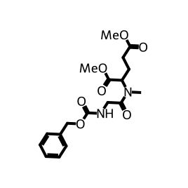 COC(=O)CCC(C(=O)OC)N(C)C(=O)CNC(=O)OCc1ccccc1